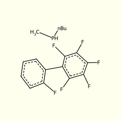 CCCCPC.Fc1ccccc1-c1c(F)c(F)c(F)c(F)c1F